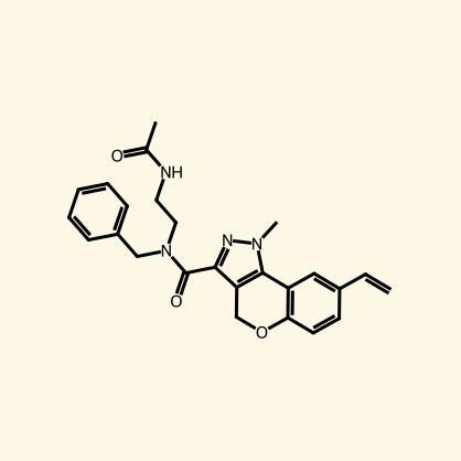 C=Cc1ccc2c(c1)-c1c(c(C(=O)N(CCNC(C)=O)Cc3ccccc3)nn1C)CO2